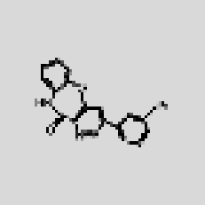 CC(C)c1cccc(-c2cnc3c(c2)Oc2ccccc2NC3=O)c1